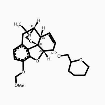 COCOc1ccc2c3c1O[C@H]1[C@@H](OCC4CCCCO4)C=C[C@H]4[C@@H](C2)N(C)CC[C@@]341